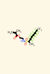 C=C(C)C(=O)OCCNS(=O)(=O)C(C)C(F)(F)C(F)(F)C(F)(F)C(F)(F)C(F)(F)C(F)(F)F